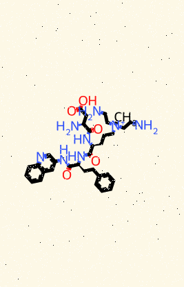 C[N+](CCN)(CCN)CCC[C@H](NC(=O)[C@@H](N)CC(=O)O)C(=O)N[C@@H](CCc1ccccc1)C(=O)Nc1cnc2ccccc2c1